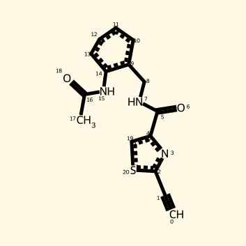 C#Cc1nc(C(=O)NCc2ccccc2NC(C)=O)cs1